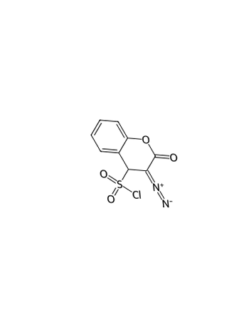 [N-]=[N+]=C1C(=O)Oc2ccccc2C1S(=O)(=O)Cl